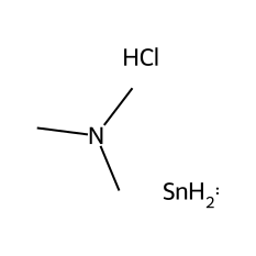 CN(C)C.Cl.[SnH2]